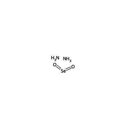 N.N.O=[Se]=O